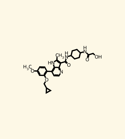 COc1ccc(-c2ccnc3c(C(=O)NC4CCC(NC(=O)CO)CC4)c(C)[nH]c23)c(OCC2CC2)c1